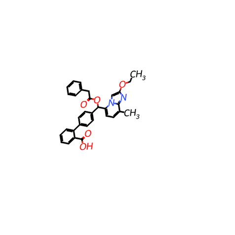 CCOc1cn2c(C(OC(=O)Cc3ccccc3)c3ccc(-c4ccccc4C(=O)O)cc3)ccc(C)c2n1